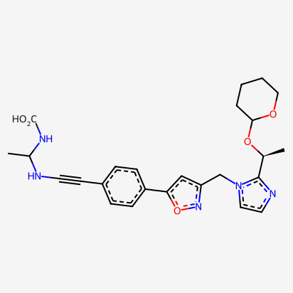 CC(NC#Cc1ccc(-c2cc(Cn3ccnc3[C@H](C)OC3CCCCO3)no2)cc1)NC(=O)O